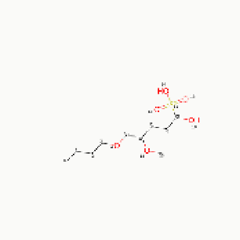 CCCCOC[C@H](CCC(O)S(=O)(=O)O)OC